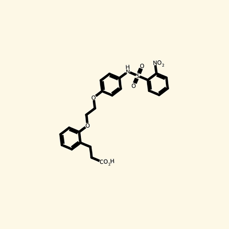 O=C(O)CCc1ccccc1OCCOc1ccc(NS(=O)(=O)c2ccccc2[N+](=O)[O-])cc1